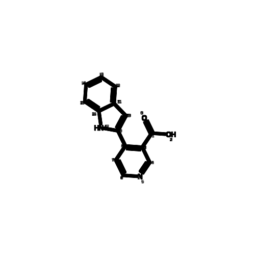 O=C(O)c1cnccc1-c1cc2ccccc2[nH]1